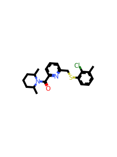 Cc1cccc(SCc2cccc(C(=O)N3C(C)CCCC3C)n2)c1Cl